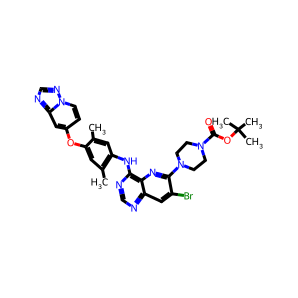 Cc1cc(Oc2ccn3ncnc3c2)c(C)cc1Nc1ncnc2cc(Br)c(N3CCN(C(=O)OC(C)(C)C)CC3)nc12